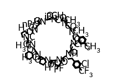 CCC[C@H]1C(=O)N[C@@H]([C@@H](C)CC)C(=O)N(C)CC(=O)N(C)CC(=O)N(C)[C@@H](Cc2ccc(C)cc2)C(=O)N(C)CC(=O)N[C@@H](CCc2ccc(C(F)(F)F)c(Cl)c2)C(=O)N2CC(F)(F)C[C@H]2C(=O)NC2(CCCC2)C(=O)N(C)[C@@H](C2CCCCC2)C(=O)N(C)[C@H](C(=O)N2CCCC2)CC(=O)N1C